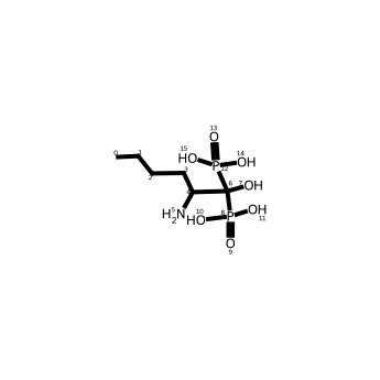 CCCCC(N)C(O)(P(=O)(O)O)P(=O)(O)O